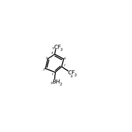 Bc1ccc(C(F)(F)F)cc1C(F)(F)F